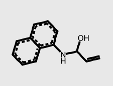 C=CC(O)Nc1cccc2ccccc12